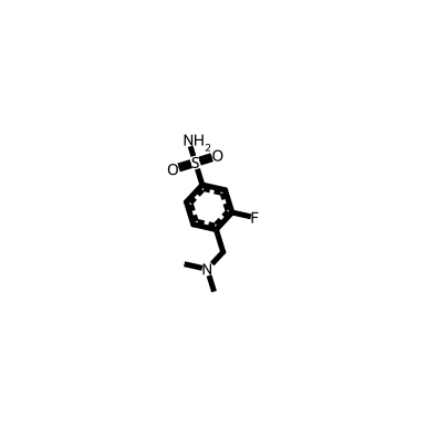 CN(C)Cc1ccc(S(N)(=O)=O)cc1F